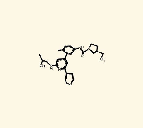 Cc1ccc(NC(=O)N2CC[C@@H](CC(F)(F)F)C2)cc1-c1cc(NCC(C)O)nc(C2=CCOCC2)c1